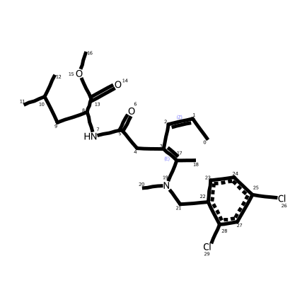 C/C=C\C(CC(=O)NC(CC(C)C)C(=O)OC)=C(/C)N(C)Cc1ccc(Cl)cc1Cl